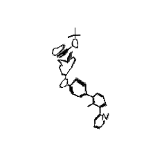 Cc1c(-c2ccc(OC3CCN(C(=O)OC(C)(C)C)CC3)cc2)cccc1-c1ccccn1